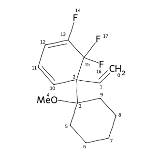 C=CC1(C2(OC)CCCCC2)C=CC=C(F)C1(F)F